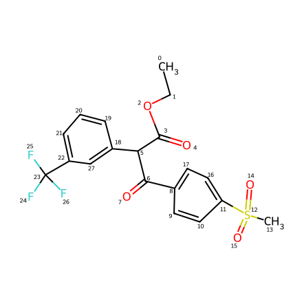 CCOC(=O)C(C(=O)c1ccc(S(C)(=O)=O)cc1)c1cccc(C(F)(F)F)c1